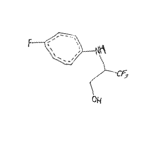 OCC(Nc1ccc(F)cc1)C(F)(F)F